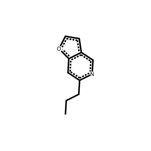 CCCc1cc2occc2cn1